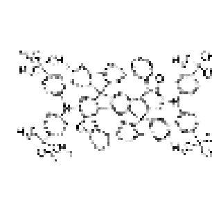 CC(C)(C)c1ccc(N(c2ccc(C(C)(C)C)cc2)c2cc3c(c4c2oc2ccccc24)-c2cc4c(cc2C32c3ccccc3-c3ccccc32)-c2c(cc(N(c3ccc(C(C)(C)C)cc3)c3ccc(C(C)(C)C)cc3)c3oc5ccccc5c23)C42c3ccccc3-c3ccccc32)cc1